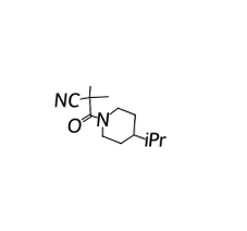 CC(C)C1CCN(C(=O)C(C)(C)C#N)CC1